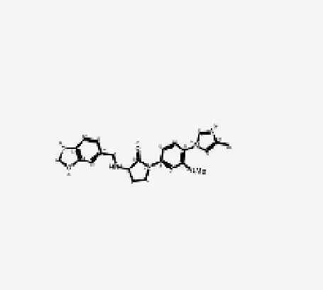 COc1cc(N2CCC(NCc3ccc4c(c3)OCO4)C2=O)ccc1-n1cnc(C)c1